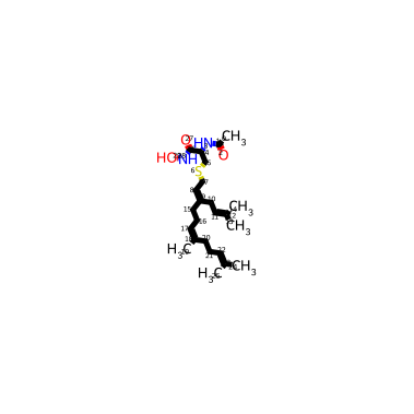 CC(=O)NC(CSCC=C(CC=C(C)C)CCC=C(C)CCC=C(C)C)C(=O)NO